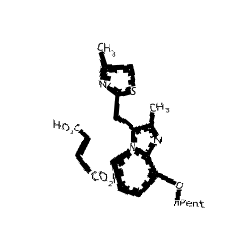 CCCCCOc1cccn2c(Cc3nc(C)cs3)c(C)nc12.O=C(O)/C=C/C(=O)O